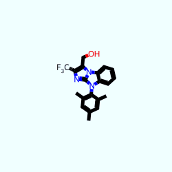 Cc1cc(C)c(-n2c3ccccc3n3c(CO)c(C(F)(F)F)nc23)c(C)c1